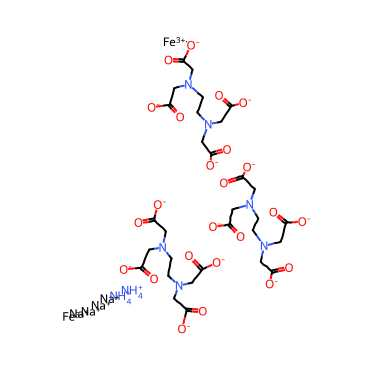 O=C([O-])CN(CCN(CC(=O)[O-])CC(=O)[O-])CC(=O)[O-].O=C([O-])CN(CCN(CC(=O)[O-])CC(=O)[O-])CC(=O)[O-].O=C([O-])CN(CCN(CC(=O)[O-])CC(=O)[O-])CC(=O)[O-].[Fe+3].[Fe+3].[NH4+].[NH4+].[Na+].[Na+].[Na+].[Na+]